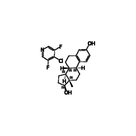 C[C@]12CC[C@@H]3c4ccc(O)cc4CC[C@H]3[C@@H]1CC[C@@H]2O.Fc1cncc(F)c1Cl